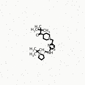 CC(C)(C)C(=O)C1CCN(Cc2csc(NC[C@@H]3CCCN3C(C)(C)C)n2)CC1